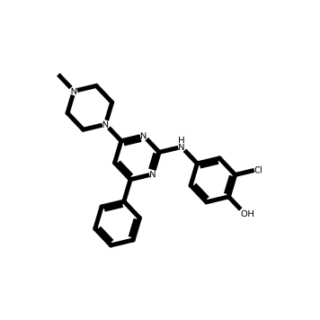 CN1CCN(c2cc(-c3ccccc3)nc(Nc3ccc(O)c(Cl)c3)n2)CC1